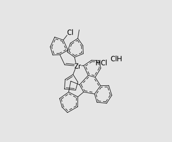 Cc1cc[c]([Zr](=[CH]c2cccc(Cl)c2)([C]2=CC=CC2)[c]2cccc3c2c2c(c4ccccc43)-c3ccccc3C2)cc1.Cl.Cl